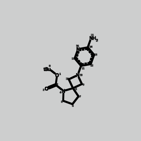 CC(C)(C)OC(=O)N1CCCC12CN(c1ccc(N)nc1)C2